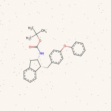 CC(C)(C)OC(=O)N[C@H]1Cc2ccccc2[C@H]1Cc1ccc(Oc2ccccc2)cc1